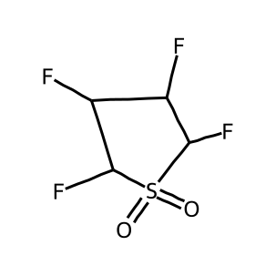 O=S1(=O)C(F)C(F)C(F)C1F